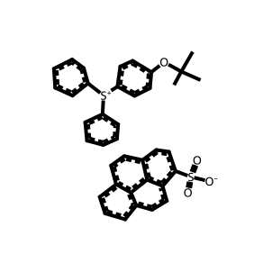 CC(C)(C)Oc1ccc([S+](c2ccccc2)c2ccccc2)cc1.O=S(=O)([O-])c1ccc2ccc3cccc4ccc1c2c34